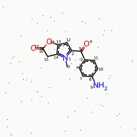 Cn1c(C(=O)c2ccc(N)cc2)cc2c1CC(=O)O2